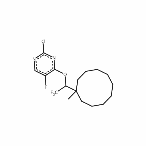 CC1(C(Oc2nc(Cl)ncc2F)C(F)(F)F)CCCCCCCCC1